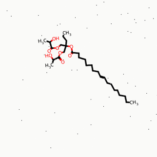 CCCCCCCCC=CCCCCCCCC(=O)OC(CCC)(COC(=O)C(C)O)COC(=O)C(C)O